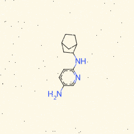 Nc1ccc(NC2CC3CCC2C3)nc1